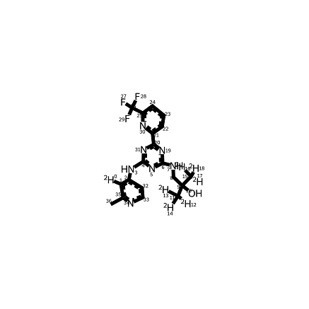 [2H]c1c(Nc2nc(NCC(O)(C([2H])([2H])[2H])C([2H])([2H])[2H])nc(-c3cccc(C(F)(F)F)n3)n2)ccnc1C